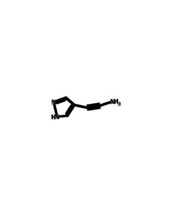 NC#Cc1cn[nH]c1